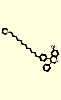 Oc1ccc2c(c1)[C@H](c1ccc(CCCCCCCCCCCCN3CCCC3)cc1)[C@H](c1ccccc1)CO2